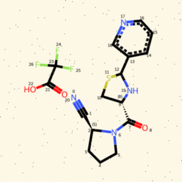 N#C[C@@H]1CCCN1C(=O)[C@@H]1CSC(c2cccnc2)N1.O=C(O)C(F)(F)F